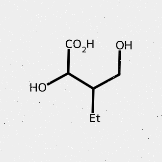 CCC(CO)C(O)C(=O)O